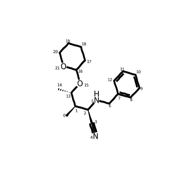 C[C@H]([C@H](C#N)NCc1ccccc1)[C@H](C)OC1CCCCO1